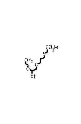 C=CCOC(CC)COCCCSCC(=O)O